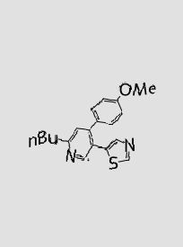 CCCCc1cc(-c2ccc(OC)cc2)c(-c2cncs2)[c]n1